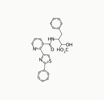 O=C(NC(Cc1ccccc1)C(O)C(=O)O)c1cccnc1-c1csc(-c2ccccc2)n1